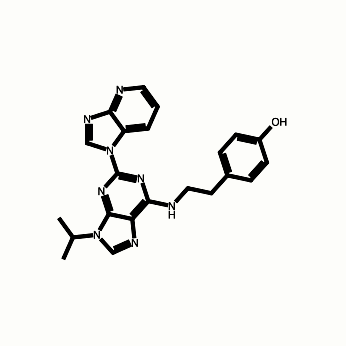 CC(C)n1cnc2c(NCCc3ccc(O)cc3)nc(-n3cnc4ncccc43)nc21